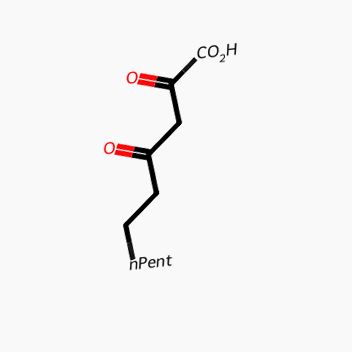 CCCCCCCC(=O)CC(=O)C(=O)O